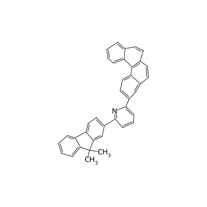 CC1(C)c2ccccc2-c2ccc(-c3cccc(-c4ccc5c(ccc6ccc7ccccc7c65)c4)n3)cc21